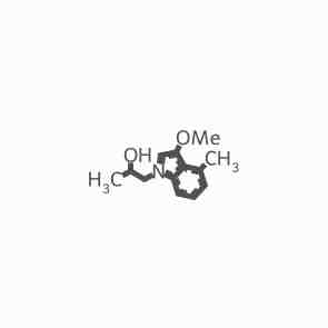 COc1cn(CC(C)O)c2cccc(C)c12